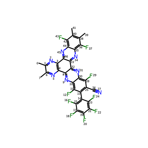 Cc1nc2c(nc1C)c1nc3c(F)c(-c4c(F)c(F)c(F)c(F)c4F)c(C#N)c(F)c3nc1c1nc3c(F)c(C)c(C)c(F)c3nc21